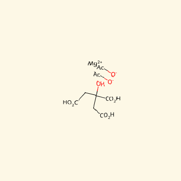 CC(=O)[O-].CC(=O)[O-].O=C(O)CC(O)(CC(=O)O)C(=O)O.[Mg+2]